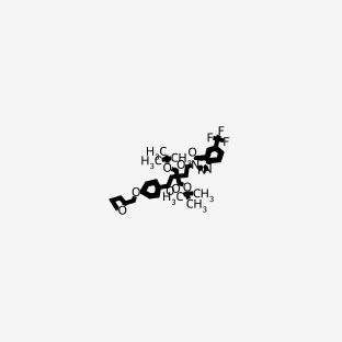 CC(C)(C)OC(=O)C(CCn1nnc2ccc(C(F)(F)F)cc2c1=O)(CC(=O)c1ccc(OCC2CCCO2)cc1)C(=O)OC(C)(C)C